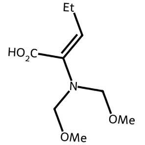 CC/C=C(\C(=O)O)N(COC)COC